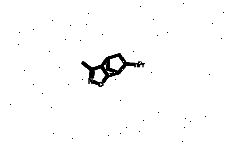 CCCC1CC2CC1C1ON=C(C)C21